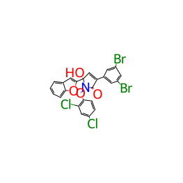 O=C1C(c2cc(Br)cc(Br)c2)=CC(O)(c2cc3ccccc3o2)N1Oc1ccc(Cl)cc1Cl